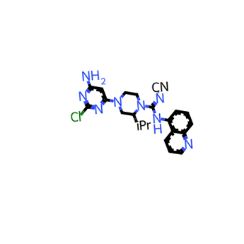 CC(C)C1CN(c2cc(N)nc(Cl)n2)CCN1/C(=N\C#N)Nc1cccc2ncccc12